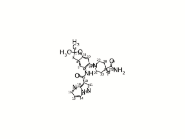 CC1(C)Cc2cc(NC(=O)c3cnn4cccnc34)c(N3CCC(F)(C(N)=O)CC3)cc2O1